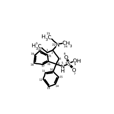 CCC(CC(NS(=O)(=O)O)(c1ccccc1)c1ccccc1)N(C)C